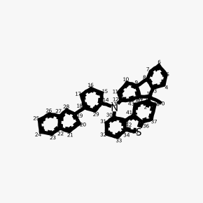 CC1(C)c2ccccc2-c2ccc(N(c3cccc(-c4ccc5ccccc5c4)c3)c3cccc4sc5ccccc5c34)cc21